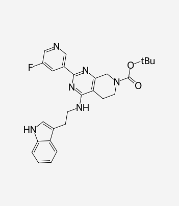 CC(C)(C)OC(=O)N1CCc2c(nc(-c3cncc(F)c3)nc2NCCc2c[nH]c3ccccc23)C1